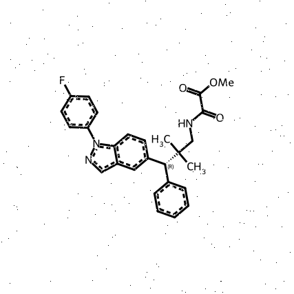 COC(=O)C(=O)NCC(C)(C)[C@H](c1ccccc1)c1ccc2c(cnn2-c2ccc(F)cc2)c1